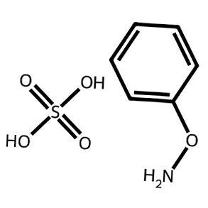 NOc1ccccc1.O=S(=O)(O)O